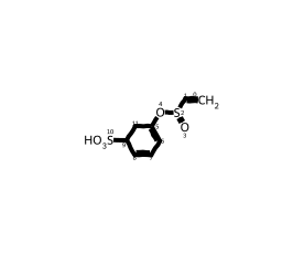 C=CS(=O)OC1=CC=CC(S(=O)(=O)O)C1